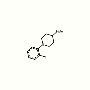 CNC1CCN(c2ccccc2F)CC1